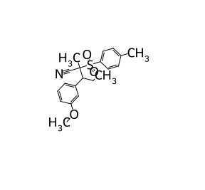 CCC(c1cccc(OC)c1)C(C)(C#N)S(=O)(=O)c1ccc(C)cc1